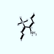 C=C/C=C(N)\C(=C/C=C)S(C)(C)C